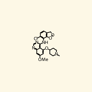 COc1cc(OC2CCN(C)CC2)c2c(Nc3c(Cl)ccc4c3OOC4)ncnc2c1